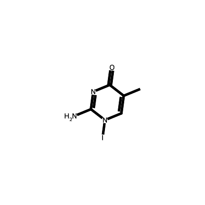 Cc1cn(I)c(N)nc1=O